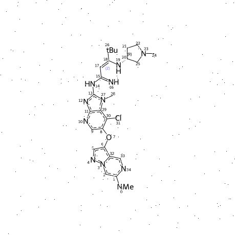 CNc1cn2ncc(Oc3cnc4nc(NC(=N)/C=C(\N[C@@H]5CCN(C)C5)C(C)(C)C)n(C)c4c3Cl)c2cn1